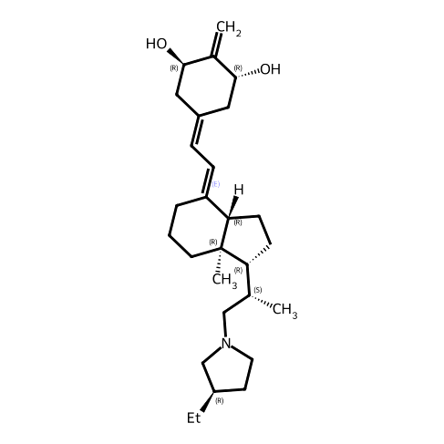 C=C1[C@H](O)CC(=C/C=C2\CCC[C@]3(C)[C@@H]([C@H](C)CN4CC[C@@H](CC)C4)CC[C@@H]23)C[C@H]1O